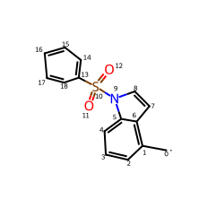 [CH2]c1cccc2c1ccn2S(=O)(=O)c1ccccc1